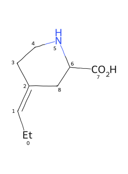 CC/C=C1/CCNC(C(=O)O)C1